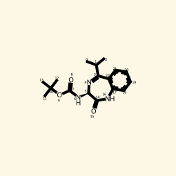 CC(C)C1=N[C@H](NC(=O)OC(C)(C)C)C(=O)Nc2ccccc21